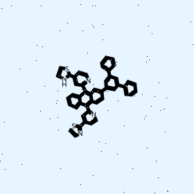 C1=CSC(c2ccnc(-c3c4ccccc4c(-c4cc(-c5nccs5)ccn4)c4ccc(-c5cc(-c6ccccc6)cc(-c6ccccc6)c5)cc34)c2)N1